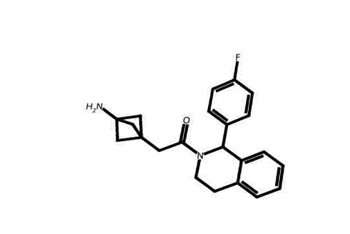 NC12CC(CC(=O)N3CCc4ccccc4C3c3ccc(F)cc3)(C1)C2